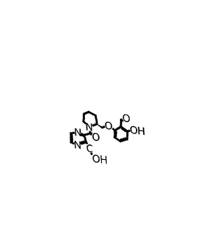 O=Cc1c(O)cccc1OC[C@@H]1CCCCN1C(=O)c1nccnc1CCO